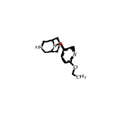 CCOc1ccc(CN2C3CNCC2COC3)cn1